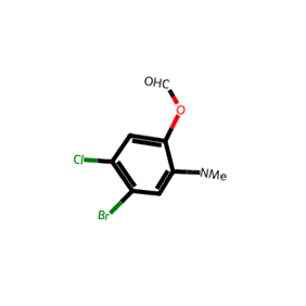 CNc1cc(Br)c(Cl)cc1OC=O